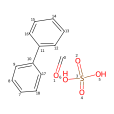 C=O.O=S(=O)(O)O.c1ccc(-c2ccccc2)cc1